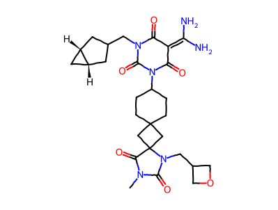 CN1C(=O)N(CC2COC2)C2(CC3(CCC(N4C(=O)C(=C(N)N)C(=O)N(CC5C[C@@H]6C[C@@H]6C5)C4=O)CC3)C2)C1=O